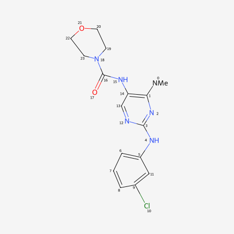 CNc1nc(Nc2cccc(Cl)c2)ncc1NC(=O)N1CCOCC1